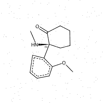 CN[C@]1(c2ccccc2OC)CCCCC1=O